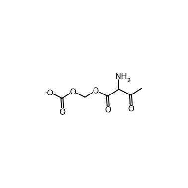 CC(=O)C(N)C(=O)OCOC([O])=O